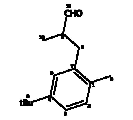 Cc1ccc(C(C)(C)C)cc1CC(C)C=O